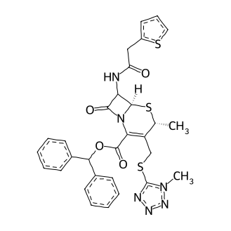 C[C@H]1S[C@@H]2C(NC(=O)Cc3cccs3)C(=O)N2C(C(=O)OC(c2ccccc2)c2ccccc2)=C1CSc1nnnn1C